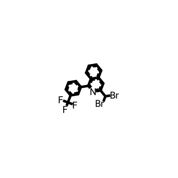 FC(F)(F)c1cccc(-c2nc(C(Br)Br)cc3ccccc23)c1